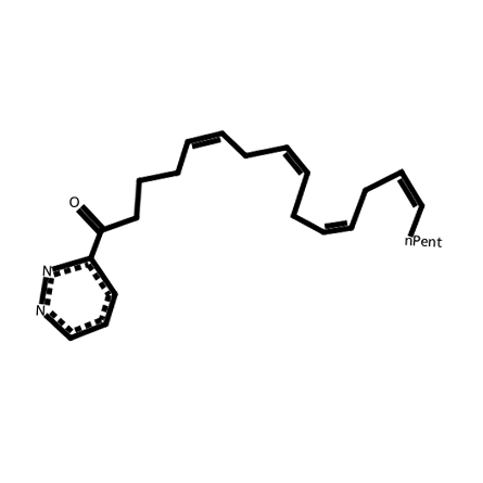 CCCCC/C=C\C/C=C\C/C=C\C/C=C\CCCC(=O)c1cccnn1